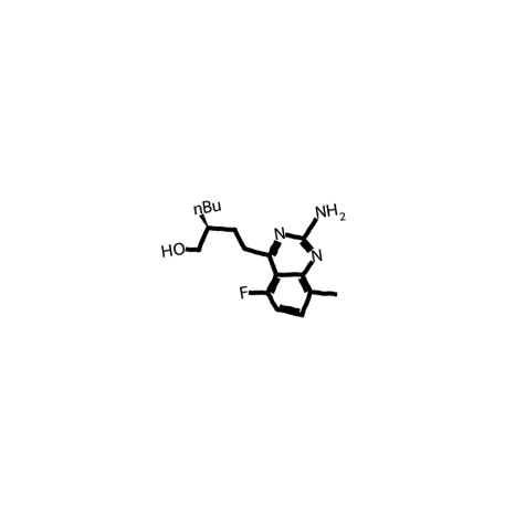 CCCC[C@H](CO)CCc1nc(N)nc2c(C)ccc(F)c12